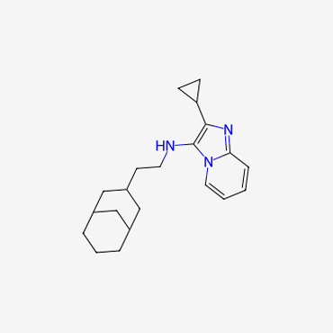 c1ccn2c(NCCC3CC4CCCC(C4)C3)c(C3CC3)nc2c1